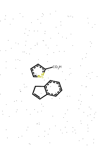 C1=Cc2ccccc2C1.O=C(O)c1cccs1